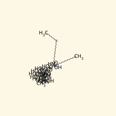 CCCCCCCC/C=C\CCCCCCCCCCCCCC(=O)N[C@@H](CO[C@@H]1OC(CO)[C@@H](O[C@@H]2OC(CO)[C@H](O[C@@H]3OC(CO)[C@H](O)[C@H](O)C3O)[C@H](O[C@]3(C(=O)O)CC(O)[C@@H](NC(C)=O)C([C@H](O)[C@H](O)CO)O3)C2O)[C@H](O)C1O)[C@H](O)/C=C/CCCCCCCCCCCCC